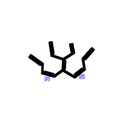 C=C/C=C\C(/C=C\C=C)=C(C=C)C=C